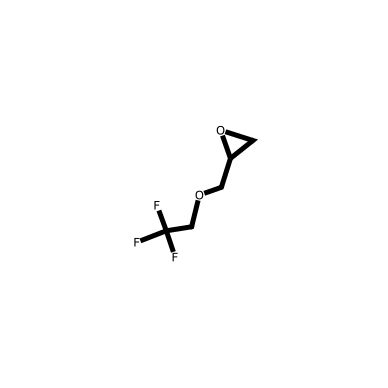 FC(F)(F)COCC1CO1